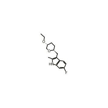 CCO[C@@H]1CC[C@@H](Cc2c(C)[nH]c3cc(F)ccc23)OC1